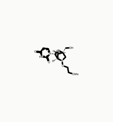 COCCON1C[C@]2(CO)O[C@@H](n3ccc(=O)[nH]c3=O)[C@H]1[C@@H]2O